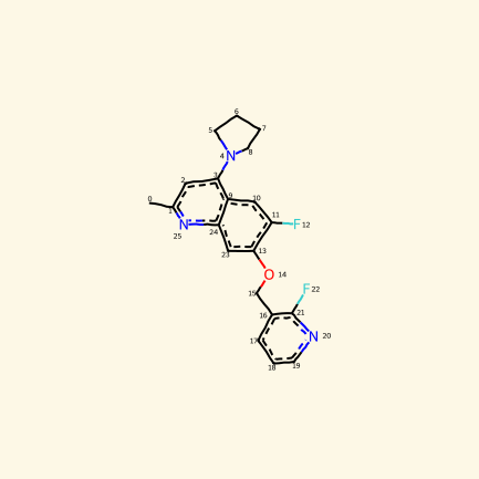 Cc1cc(N2CCCC2)c2cc(F)c(OCc3cccnc3F)cc2n1